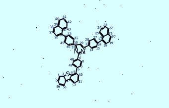 C1=CC2Sc3c(-c4ccc(-c5nc(-c6ccc(-c7cccc8ccccc78)cc6)cc(-c6ccc(-c7cccc8ccccc78)cc6)n5)cc4)cccc3C2C=C1